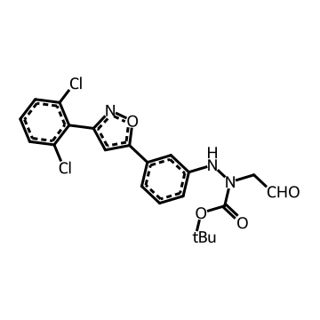 CC(C)(C)OC(=O)N(CC=O)Nc1cccc(-c2cc(-c3c(Cl)cccc3Cl)no2)c1